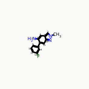 Cn1cc2cc(N)c(-c3cccc(F)c3)cc2n1